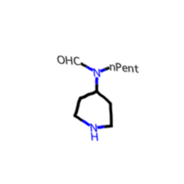 CCCCCN(C=O)C1CCNCC1